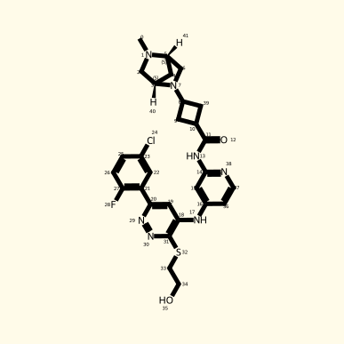 CN1C[C@@H]2C[C@H]1CN2C1CC(C(=O)Nc2cc(Nc3cc(-c4cc(Cl)ccc4F)nnc3SCCO)ccn2)C1